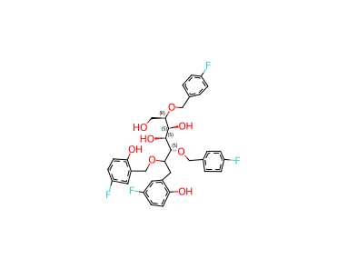 OC[C@@H](OCc1ccc(F)cc1)[C@@H](O)[C@H](O)[C@H](OCc1ccc(F)cc1)C(Cc1cc(F)ccc1O)OCc1cc(F)ccc1O